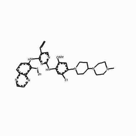 C=Cc1cnc(Nc2cc(CC)c(N3CCC(N4CCN(C)CC4)CC3)cc2OC)nc1Nc1ccc2nccnc2c1SC(C)C